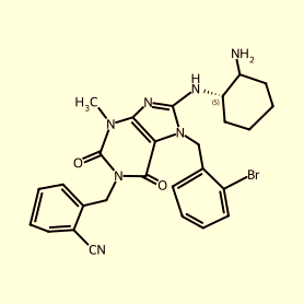 Cn1c(=O)n(Cc2ccccc2C#N)c(=O)c2c1nc(N[C@H]1CCCCC1N)n2Cc1ccccc1Br